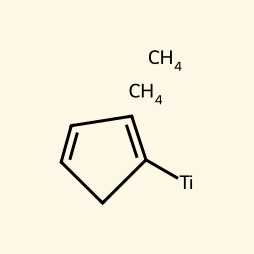 C.C.[Ti][C]1=CC=CC1